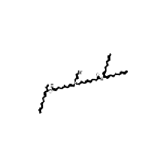 CCCCCCCCC(CC)OC(=O)CCCCCCCN(CCCBr)CCCCCCCC(=O)OC(CCCCCCCC)CCCCCCCC